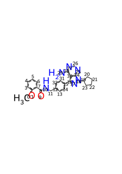 COc1ccccc1C(=O)NCc1ccc(-c2nn(C3CCCC3)c3ncnc(N)c23)cc1